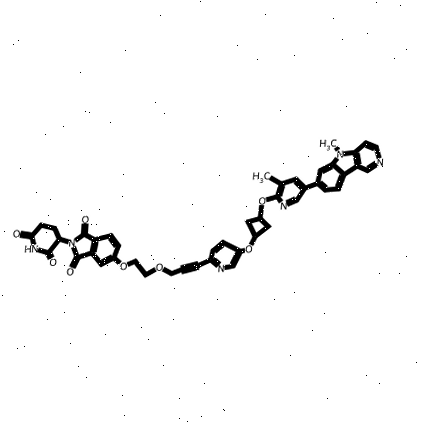 Cc1cc(-c2ccc3c4cnccc4n(C)c3c2)cnc1OC1CC(Oc2ccc(C#CCOCCOc3ccc4c(c3)C(=O)N(C3CCC(=O)NC3=O)C4=O)nc2)C1